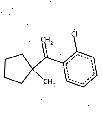 C=C(c1ccccc1Cl)C1(C)CCCC1